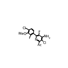 COc1c(Cl)ccc(-c2nc(C(C)=O)c(Cl)c(N)c2F)c1F